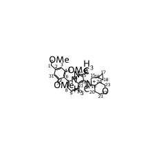 COCc1cc(OC)c(-c2cccc3c([N+](C)(CC4CC4)C4CCOCC4)c(C)nn23)c(OC)c1